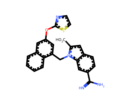 N=C(N)c1ccc2cc(C(=O)O)n(Cc3cc(Oc4nccs4)cc4ccccc34)c2c1